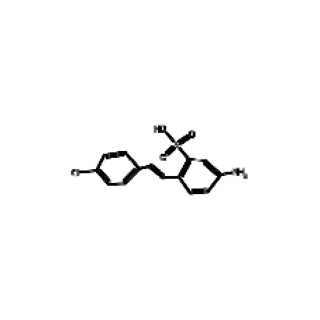 Nc1ccc(C=Cc2ccc(Cl)cc2)c(S(=O)(=O)O)c1